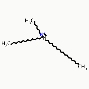 CCCCCCCCCCCCCCCCCCCn1cc[n+](CCCCCCC)c1CCCCCCCCCCCCCC